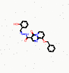 O=C(N/N=C\c1ccccc1O)c1cnc2c(OCc3ccccc3)cccn2c1=O